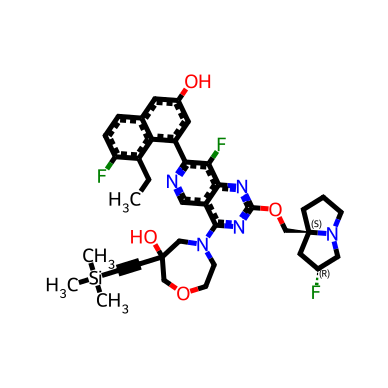 CCc1c(F)ccc2cc(O)cc(-c3ncc4c(N5CCOCC(O)(C#C[Si](C)(C)C)C5)nc(OC[C@@]56CCCN5C[C@H](F)C6)nc4c3F)c12